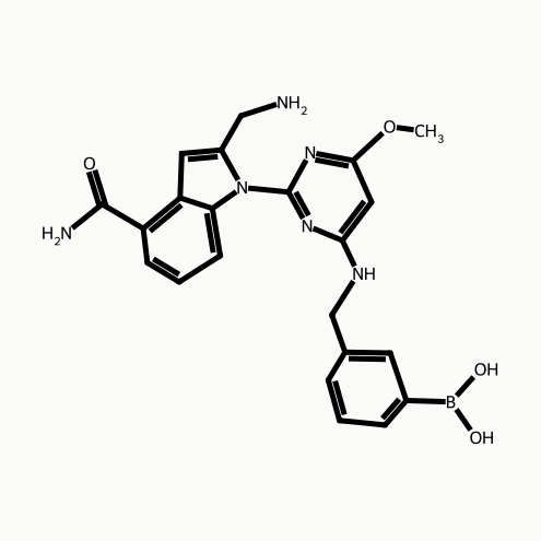 COc1cc(NCc2cccc(B(O)O)c2)nc(-n2c(CN)cc3c(C(N)=O)cccc32)n1